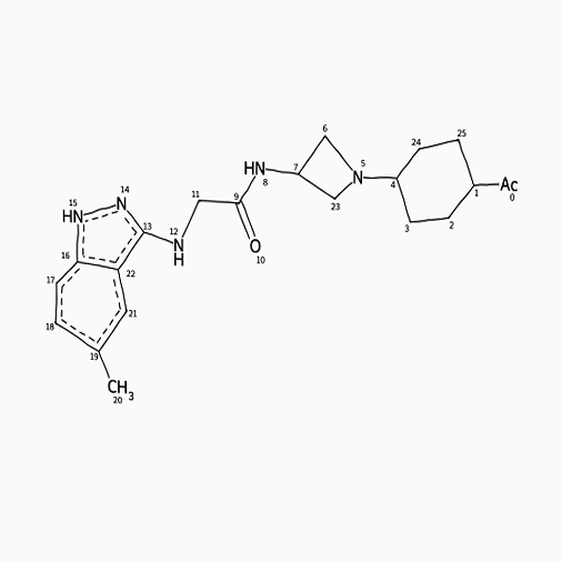 CC(=O)C1CCC(N2CC(NC(=O)CNc3n[nH]c4ccc(C)cc34)C2)CC1